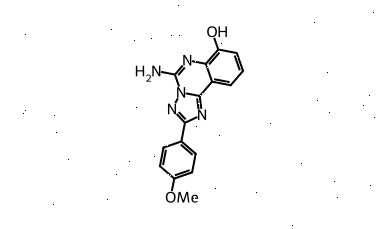 COc1ccc(-c2nc3c4cccc(O)c4nc(N)n3n2)cc1